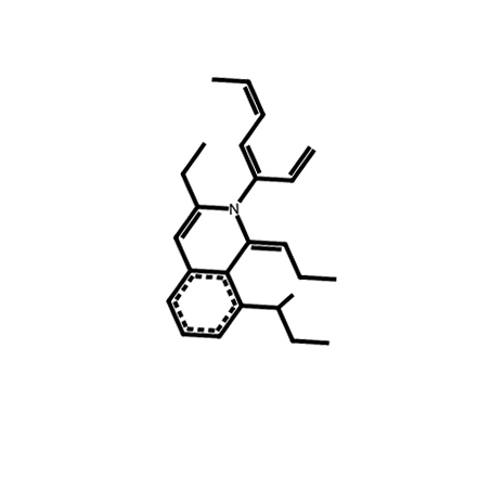 C=C/C(=C\C=C/C)N1C(CC)=Cc2cccc(C(C)CC)c2/C1=C\CC